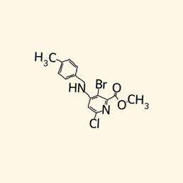 COC(=O)c1nc(Cl)cc(NCc2ccc(C)cc2)c1Br